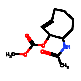 COC(=O)OC1/C=C/CCCCC1NC(C)=O